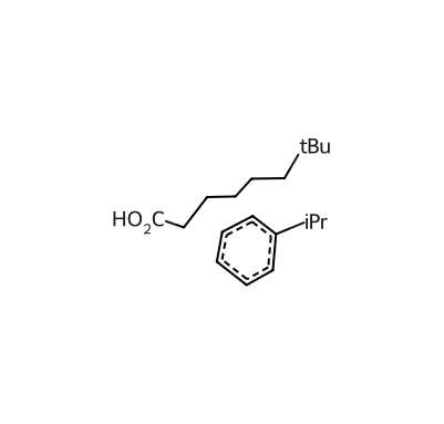 CC(C)(C)CCCCCC(=O)O.CC(C)c1ccccc1